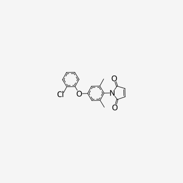 Cc1cc(Oc2ccccc2Cl)cc(C)c1N1C(=O)C=CC1=O